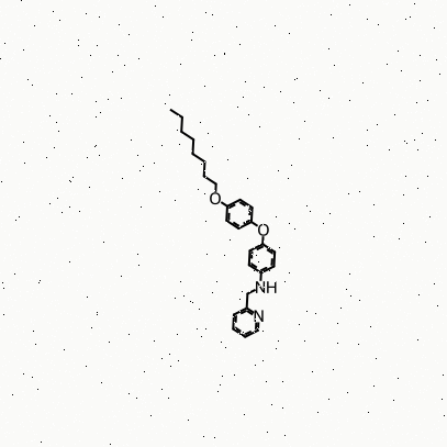 CCCCCCCCOc1ccc(Oc2ccc(NCc3ccccn3)cc2)cc1